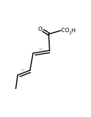 C/C=C/C=C/C(=O)C(=O)O